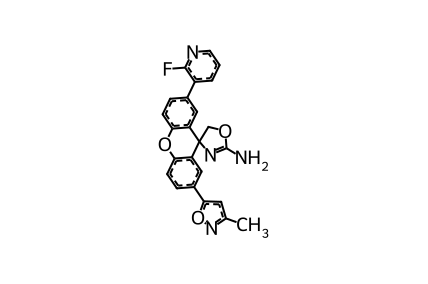 Cc1cc(-c2ccc3c(c2)C2(COC(N)=N2)c2cc(-c4cccnc4F)ccc2O3)on1